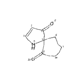 O=C1C=CNC12CCCC2=O